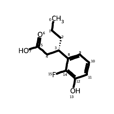 CCC[C@@H](CC(=O)O)c1cccc(O)c1F